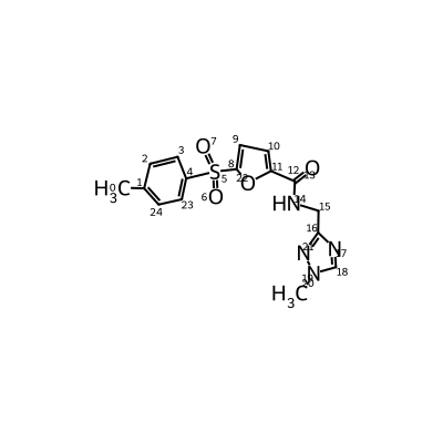 Cc1ccc(S(=O)(=O)c2ccc(C(=O)NCc3ncn(C)n3)o2)cc1